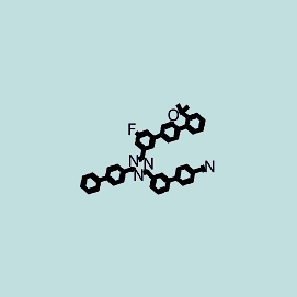 CC1(C)Oc2cc(-c3cc(F)cc(-c4nc(-c5ccc(-c6ccccc6)cc5)nc(-c5cccc(-c6ccc(C#N)cc6)c5)n4)c3)ccc2-c2ccccc21